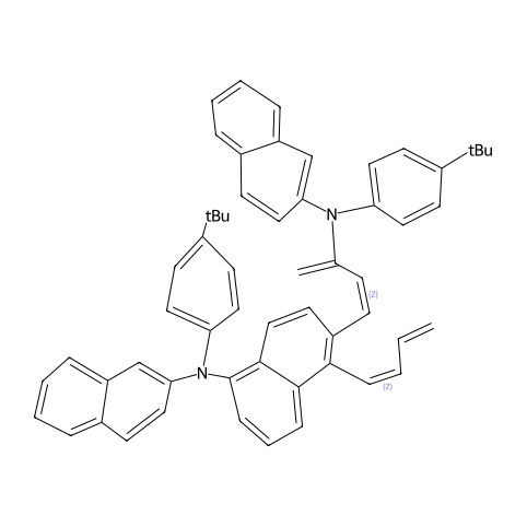 C=C/C=C\c1c(/C=C\C(=C)N(c2ccc(C(C)(C)C)cc2)c2ccc3ccccc3c2)ccc2c(N(c3ccc(C(C)(C)C)cc3)c3ccc4ccccc4c3)cccc12